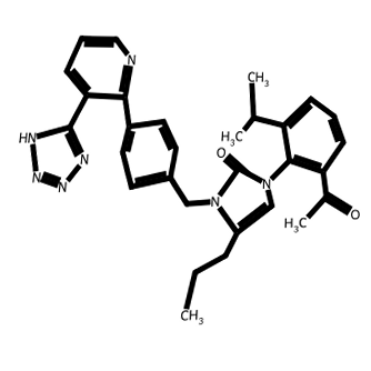 CCCc1cn(-c2c(C(C)=O)cccc2C(C)C)c(=O)n1Cc1ccc(-c2ncccc2-c2nnn[nH]2)cc1